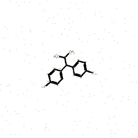 CC(C)C(c1ccc(F)cc1)c1ccc(F)cc1